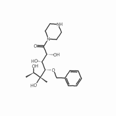 C[C@@H](O)[C@@](C)(O)[C@@H](OCc1ccccc1)[C@H](O)[C@@H](O)C(=O)N1CCNCC1